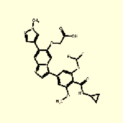 COc1cc(-c2cnc3cc(-c4cnn(C)c4)c(OCC(=O)O)cn23)cc(OC(F)F)c1C(=O)NC1CC1